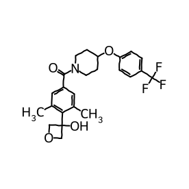 Cc1cc(C(=O)N2CCC(Oc3ccc(C(F)(F)F)cc3)CC2)cc(C)c1C1(O)COC1